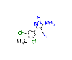 Cc1c(Cl)cc(-c2n[nH]c(N)c2C#N)cc1Cl